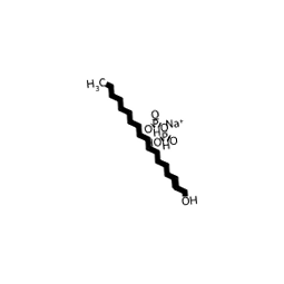 CCCCCCCCCCCCCCCC=CCO.O=[PH]([O-])O[PH](=O)O.[Na+]